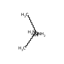 CCCCCCCCCCCCCCC(N)(CCCCCCCCCCCCCC)CC(=N)N